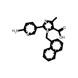 Cc1nc(-c2ccc(N)nc2)n(Cc2cccc3ccccc23)c1C(=O)O